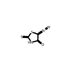 [N-]=[N+]=C1SC(=S)NC1=O